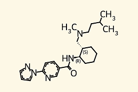 CC(C)CCN(C)C[C@@H]1CCCC[C@H]1NC(=O)c1ccc(-n2cccn2)nc1